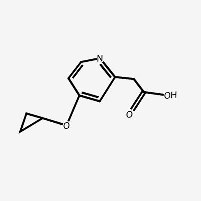 O=C(O)Cc1cc(OC2CC2)ccn1